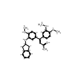 COc1ccc(C(=CC(C)=O)c2ccc(OC)c(OC3Cc4ccccc4C3)c2)cc1OC